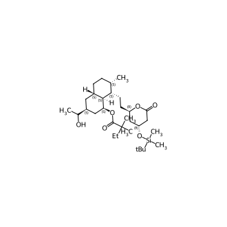 CCC(C)(C)C(=O)O[C@H]1C[C@@H](C(C)O)C[C@@H]2CC[C@H](C)[C@H](CC[C@@H]3C[C@@H](O[Si](C)(C)C(C)(C)C)CC(=O)O3)[C@H]21